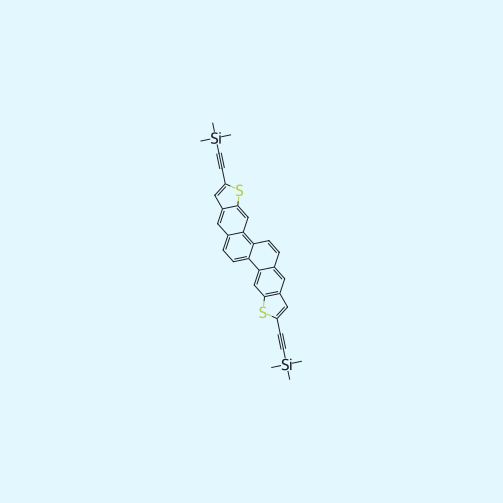 C[Si](C)(C)C#Cc1cc2cc3ccc4c5cc6sc(C#C[Si](C)(C)C)cc6cc5ccc4c3cc2s1